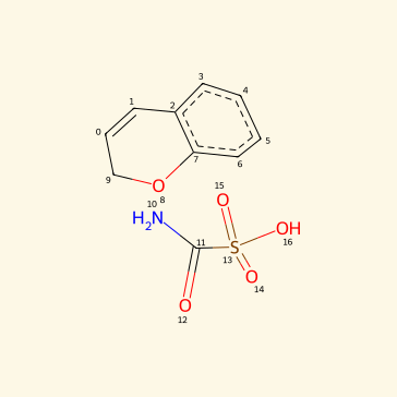 C1=Cc2ccccc2OC1.NC(=O)S(=O)(=O)O